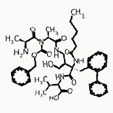 CCCCCC(=O)N[C@@](Cc1ccccc1-c1ccccc1)(C(=O)NC(C(=O)O)C(C)C)C(CO)CNC(=O)[C@H](C)N(C(=O)OCc1ccccc1)C(=O)[C@H](C)N